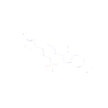 CCS(=O)(=O)c1cc(-n2ccc(C(F)(F)F)n2)cnc1-c1nc2cc(C(F)(F)F)nnc2n1C